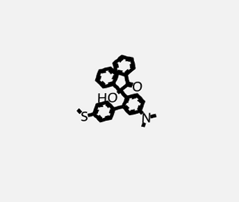 CSc1ccc(-c2cc(N(C)C)ccc2C(O)(C(=O)c2ccccc2)c2ccccc2)cc1